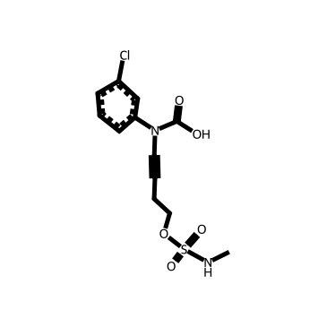 CNS(=O)(=O)OCCC#CN(C(=O)O)c1cccc(Cl)c1